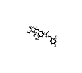 O=C(NCc1ccc(F)cc1F)C1=CN2C[C@H]3OC(=O)[C@H](CO)N3C(=O)C2=C(O)C1